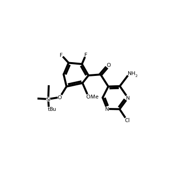 COc1c(O[Si](C)(C)C(C)(C)C)cc(F)c(F)c1C(=O)c1cnc(Cl)nc1N